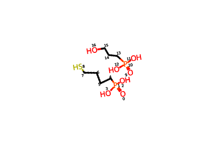 O=P(O)(O)CCCCS.O=P(O)(O)CCCO